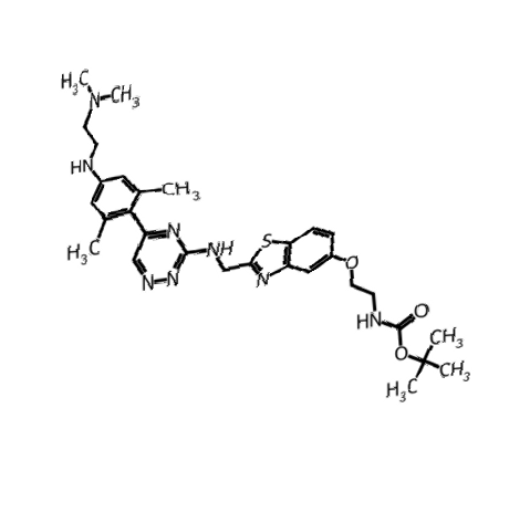 Cc1cc(NCCN(C)C)cc(C)c1-c1cnnc(NCc2nc3cc(OCCNC(=O)OC(C)(C)C)ccc3s2)n1